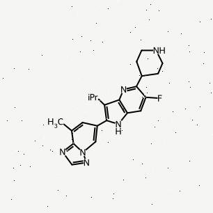 Cc1cc(-c2[nH]c3cc(F)c(C4CCNCC4)nc3c2C(C)C)cn2ncnc12